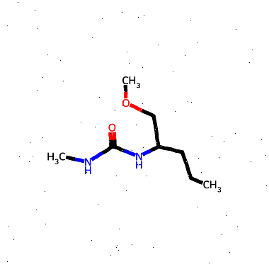 CCCC(COC)NC(=O)NC